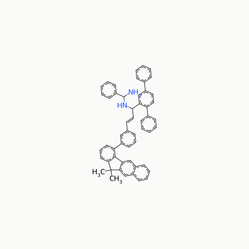 CC1(C)c2cc3ccccc3cc2-c2c(-c3cccc(/C=C/C(NC(N)c4ccccc4)c4cc(-c5ccccc5)ccc4-c4ccccc4)c3)cccc21